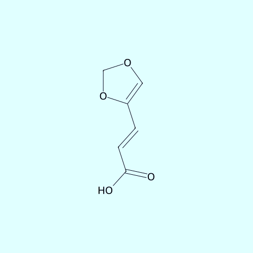 O=C(O)C=CC1=COCO1